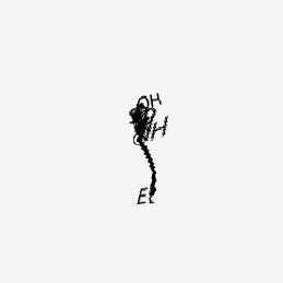 CCC=CCC=CCC=CCC=CCC=CCC=CCCC(=O)Nc1ccn([C@@H]2CS[C@H](CO)O2)c(=O)n1